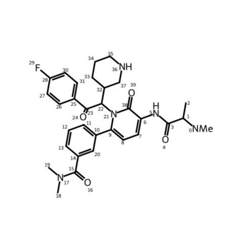 CNC(C)C(=O)Nc1ccc(-c2cccc(C(=O)N(C)C)c2)n(C(C(=O)c2ccc(F)cc2)C2CCCNC2)c1=O